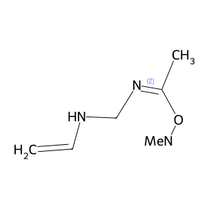 C=CNC/N=C(/C)ONC